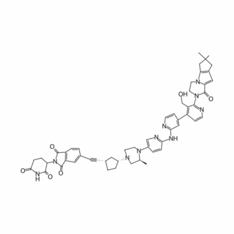 C[C@H]1CN([C@@H]2CC[C@H](C#Cc3ccc4c(c3)C(=O)N(C3CCC(=O)NC3=O)C4=O)C2)CCN1c1ccc(Nc2cc(-c3ccnc(N4CCn5c(cc6c5CC(C)(C)C6)C4=O)c3CO)ccn2)nc1